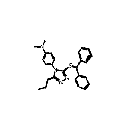 CCCc1nnc(SC(c2ccccc2)c2ccccc2)n1-c1ccc(N(C)C)cc1